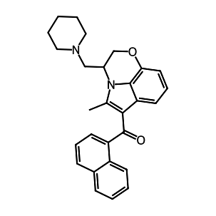 Cc1c(C(=O)c2cccc3ccccc23)c2cccc3c2n1C(CN1CCCCC1)CO3